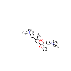 Cc1cc(-c2oc3ccccc3c2C(O)c2ccc(N(C)C)cc2)ccc1-c1ccc(N(C)C)cc1